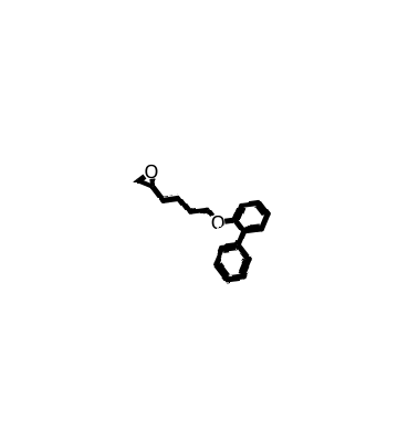 c1ccc(-c2ccccc2OCCCCC2CO2)cc1